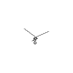 CCCCCCCCCCCCc1cc[n+](C(CC)c2ccccc2)cc1CCCCCCCCCCCC